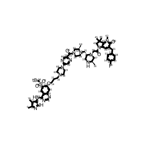 Cc1n[nH]c(Nc2ncnc3cc(OCCCN4CCN(c5cnc(C(=O)N6CCN(C[C@H]7CN[C@H](C)CN7CC(=O)N7CC(C)(C)c8c7cc(Cc7ccc(F)cc7)c(=O)n8C)[C@H](C)C6)cn5)CC4)c(S(=O)(=O)C(C)(C)C)cc23)c1C